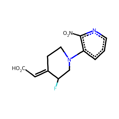 O=C(O)C=C1CCN(c2cccnc2[N+](=O)[O-])CC1F